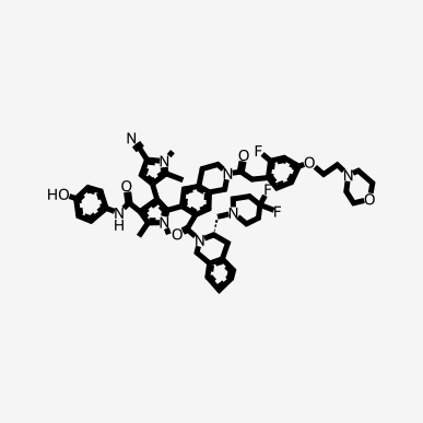 Cc1c(-c2c(C(=O)Nc3ccc(O)cc3)c(C)n(C)c2-c2cc3c(cc2C(=O)N2Cc4ccccc4C[C@H]2CN2CCC(F)(F)CC2)CN(C(=O)Cc2ccc(OCCN4CCOCC4)cc2F)CC3)cc(C#N)n1C